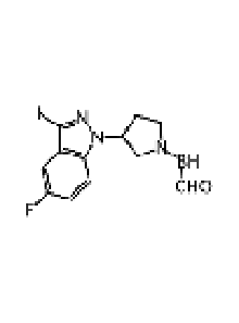 O=CBN1CC[C@H](n2nc(I)c3cc(F)ccc32)C1